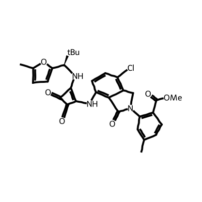 COC(=O)c1ccc(C)cc1N1Cc2c(Cl)ccc(Nc3c(N[C@@H](c4ccc(C)o4)C(C)(C)C)c(=O)c3=O)c2C1=O